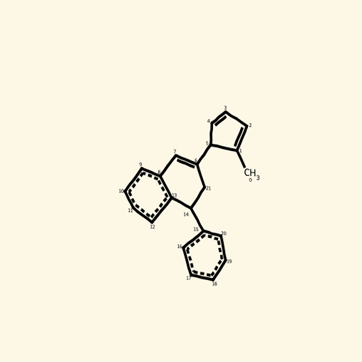 CC1=CC=CC1C1=Cc2ccccc2C(c2ccccc2)C1